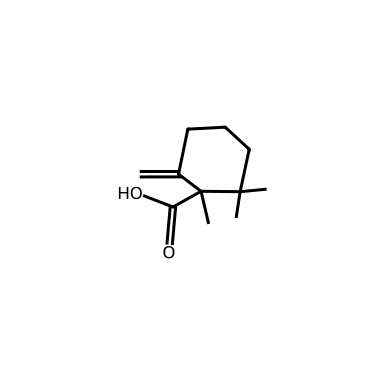 C=C1CCCC(C)(C)C1(C)C(=O)O